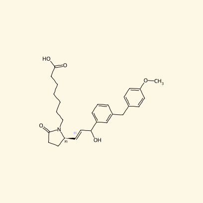 COc1ccc(Cc2cccc(C(O)/C=C/[C@H]3CCC(=O)N3CCCCCCC(=O)O)c2)cc1